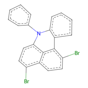 Brc1ccc2c(Br)ccc3c2c1-c1ccccc1N3c1ccccc1